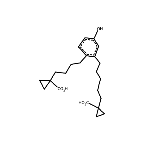 O=C(O)C1(CCCCCc2cc(O)ccc2CCCCC2(C(=O)O)CC2)CC1